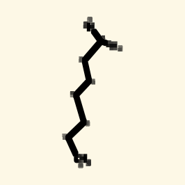 [2H]C([2H])CCCCCC